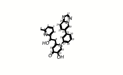 Cc1cccc(C(O)Cc2cc(=O)c(O)cn2-c2cccc(-c3ccc4ncnn4c3)c2)n1